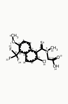 COc1ccc2c(C(=S)N(C)CC(=O)O)c(Cl)ccc2c1C(F)(F)F